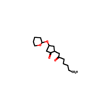 O=C(O)CCCCC(=O)CC1CC(OC2CCCCO2)CC1=O